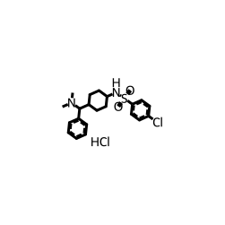 CN(C)C(c1ccccc1)C1CCC(NS(=O)(=O)c2ccc(Cl)cc2)CC1.Cl